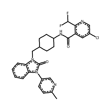 Cc1ccc(-n2c(=O)n(CC3CCC(NC(=O)c4cc(Cl)cnc4C(F)F)CC3)c3ccccc32)cn1